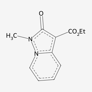 CCOC(=O)c1c(=O)n(C)n2ccccc12